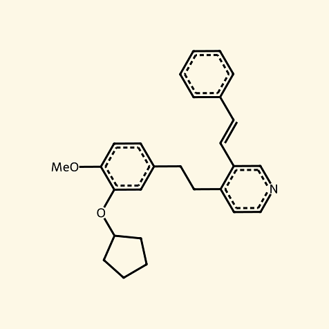 COc1ccc(CCc2ccncc2C=Cc2ccccc2)cc1OC1CCCC1